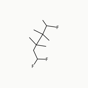 CC(F)C(C)(C)C(C)(C)CC(F)F